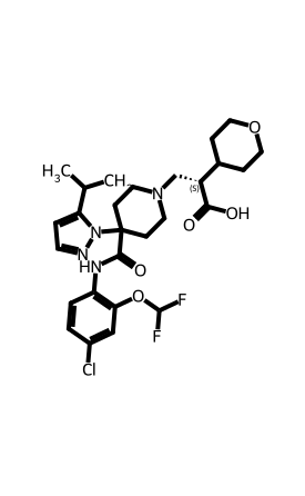 CC(C)c1ccnn1C1(C(=O)Nc2ccc(Cl)cc2OC(F)F)CCN(C[C@@H](C(=O)O)C2CCOCC2)CC1